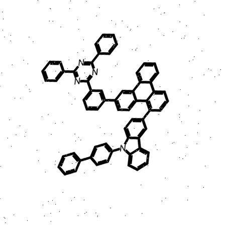 c1ccc(-c2ccc(-n3c4ccccc4c4cc(-c5cccc6c7ccccc7c7cc(-c8cccc(-c9nc(-c%10ccccc%10)nc(-c%10ccccc%10)n9)c8)ccc7c56)ccc43)cc2)cc1